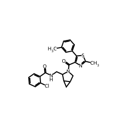 Cc1cccc(-c2sc(C)nc2C(=O)N2CC3CC3C2CNC(=O)c2ccccc2Cl)c1